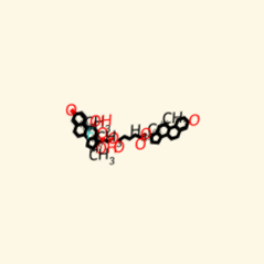 C[C@H]1C[C@@]2(C)C(CC[C@@H]2OC(=O)CCCC(=O)OCC(=O)[C@@]2(O)[C@@H](C)CC3C4CCC5=CC(=O)C=C[C@]5(C)[C@@]4(F)[C@@H](O)C[C@@]32C)C2CCC3=CC(=O)CCC3C21